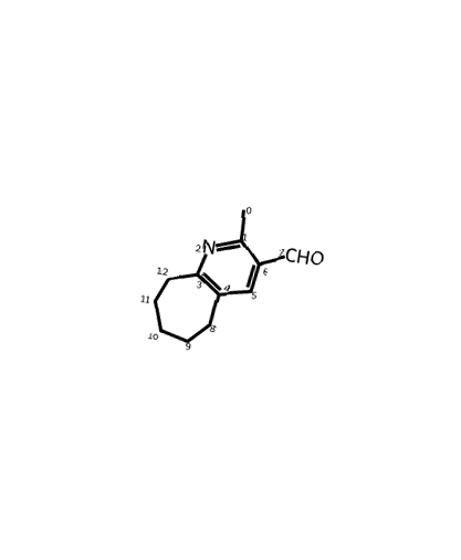 Cc1nc2c(cc1C=O)CCCCC2